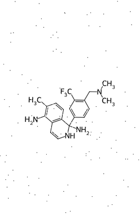 Cc1ccc2c(c1N)C=CNC2(N)c1ccc(CN(C)C)c(C(F)(F)F)c1